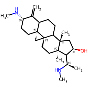 C=C1C2CCC3[C@]4(CC[C@]5(C)C([C@@H](C)NC)[C@H](O)C[C@@]35C)C[C@]24CC[C@@H]1NC